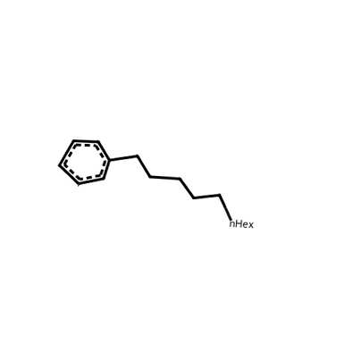 CCCCCCCCCCCc1c[c]ccc1